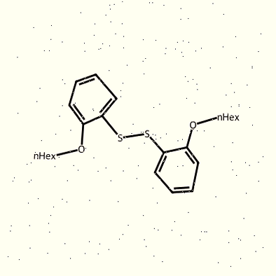 CCCCCCOc1ccccc1SSc1ccccc1OCCCCCC